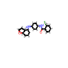 O=C(Nc1ccc(Nc2cccc3occc23)cc1)c1ccccc1F